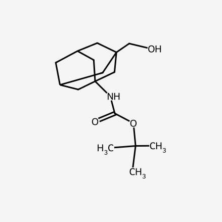 CC(C)(C)OC(=O)NC12CC3CC(CC(CO)(C3)C1)C2